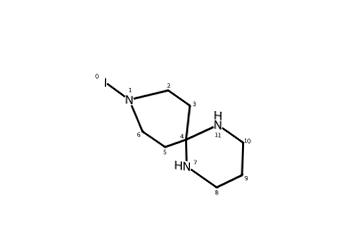 IN1CCC2(CC1)NCCCN2